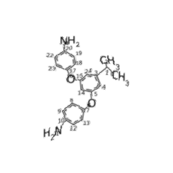 CC(C)c1cc(Oc2ccc(N)cc2)cc(Oc2ccc(N)cc2)c1